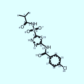 CC(C)C(=O)NS(=O)(=O)c1nnc(NC(=O)c2ccc(Cl)cc2)s1